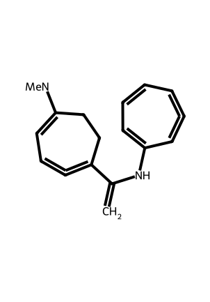 C=C(NC1=CC=CC=C=C1)C1=C=CC=C(NC)CC1